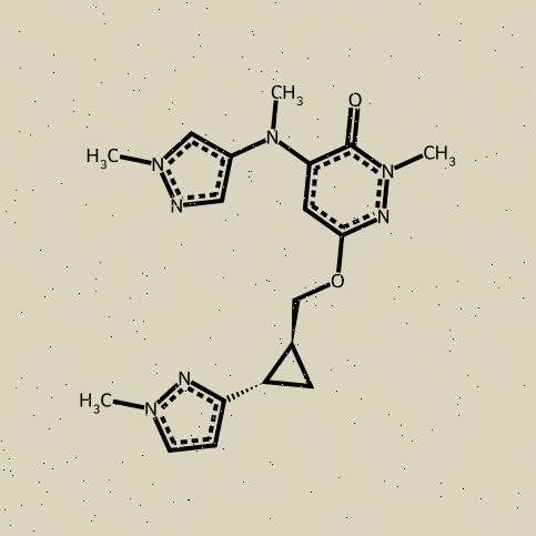 CN(c1cnn(C)c1)c1cc(OC[C@H]2C[C@@H]2c2ccn(C)n2)nn(C)c1=O